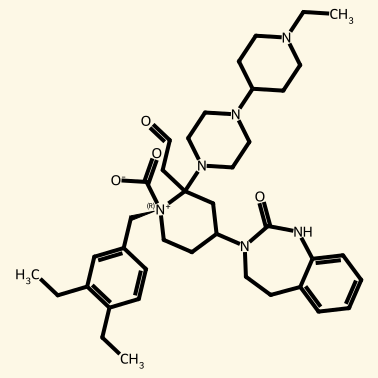 CCc1ccc(C[N@+]2(C(=O)[O-])CCC(N3CCc4ccccc4NC3=O)CC2(CC=O)N2CCN(C3CCN(CC)CC3)CC2)cc1CC